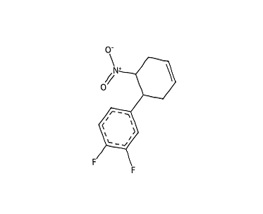 O=[N+]([O-])C1CC=CCC1c1ccc(F)c(F)c1